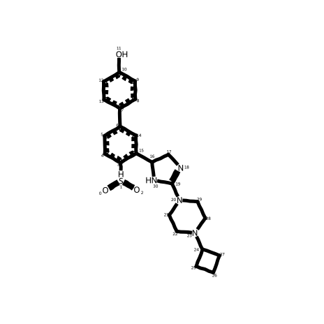 O=[SH](=O)c1ccc(-c2ccc(O)cc2)cc1C1CN=C(N2CCN(C3CCC3)CC2)N1